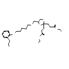 CCCc1ccccc1OCCCCCSCC1COC(CCC(=O)OCC)(CCC(=O)OCC)S1